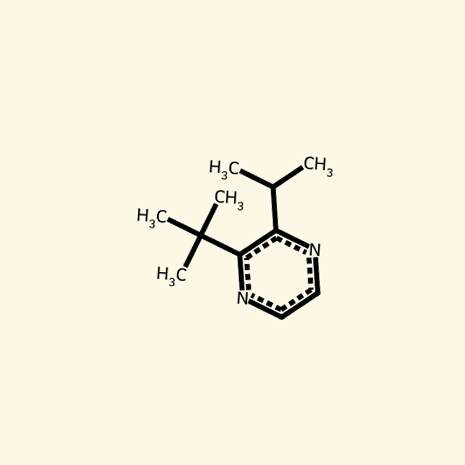 CC(C)c1nccnc1C(C)(C)C